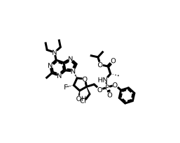 CCN(CC)c1nc(C)nc2c1ncn2[C@@H]1O[C@](CCl)(CO[P@](=O)(N[C@@H](C)C(=O)OC(C)C)Oc2ccccc2)[C@@H](O)[C@@H]1F